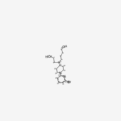 OCCCCN(CCO)C1CCN(c2cccc(Br)n2)CC1